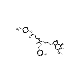 Cc1ccc(OC(=O)CCOP(=O)(COCCn2cnc3c(=O)[nH]c(N)nc32)OCc2cccc(F)c2)cc1